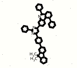 CC1(C)c2ccccc2-c2ccc(-c3ccc(-c4cc(-c5ccc6c(c5)nc(-c5ccccc5)c5cccc(-c7ccccc7)c56)nc(-c5ccccc5)n4)cc3)cc21